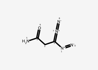 [N-]=[N+]C(CC(N)=O)=[N+]=[N-]